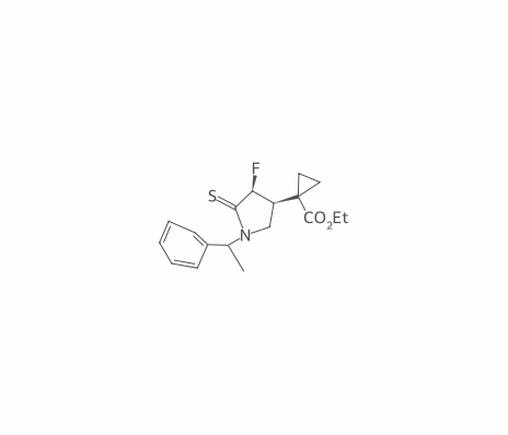 CCOC(=O)C1([C@H]2CN(C(C)c3ccccc3)C(=S)[C@H]2F)CC1